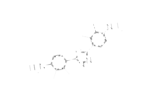 Cc1c(N)ccc(-c2nnc(-c3ccc(N)c(C)c3C)o2)c1C